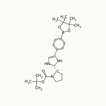 CC(C)(C)OC(=O)N1CCC[C@H]1C1NC=C(c2ccc(B3OC(C)(C)C(C)(C)O3)cc2)N1